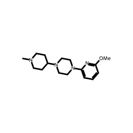 COc1cccc(N2CCN(C3CCN(C)CC3)CC2)n1